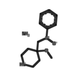 COC1(C[S+]([O-])c2ccccc2)CCNCC1.N